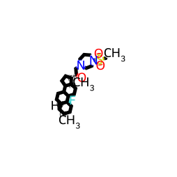 CCS(=O)(=O)N1CCCN(CC(=O)[C@H]2CCC3C4CC[C@@H]5C[C@@H](C)CCC5(F)C4CC[C@@]32C)CC1